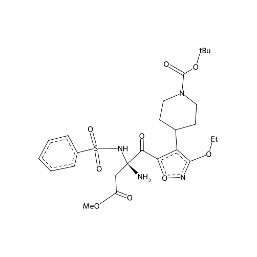 CCOc1noc(C(=O)[C@](N)(CC(=O)OC)NS(=O)(=O)c2ccccc2)c1C1CCN(C(=O)OC(C)(C)C)CC1